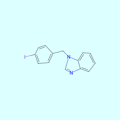 Ic1ccc(Cn2cnc3ccccc32)cc1